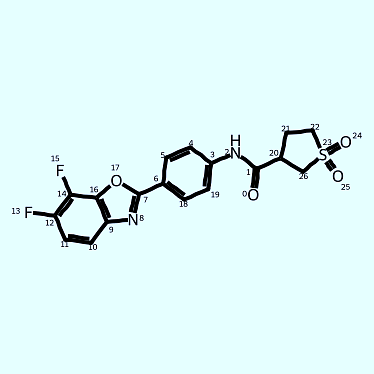 O=C(Nc1ccc(-c2nc3ccc(F)c(F)c3o2)cc1)C1CCS(=O)(=O)C1